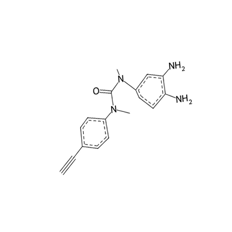 C#Cc1ccc(N(C)C(=O)N(C)c2ccc(N)c(N)c2)cc1